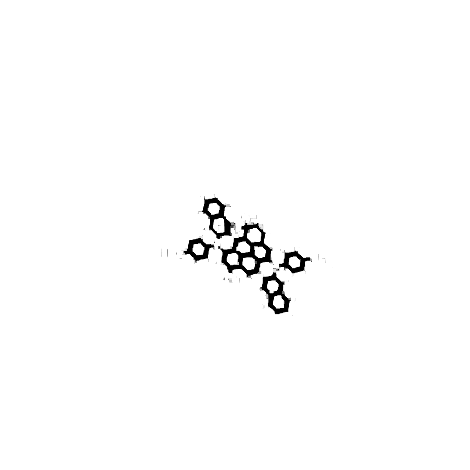 Cc1ccc(N(c2ccc3ccccc3c2)c2cc3c4c(cc5c(N(c6ccc(C)cc6)C6C=Cc7ccccc7C6)cc(C(C)C)c6ccc2c4c65)C(C)(C)CC3)cc1